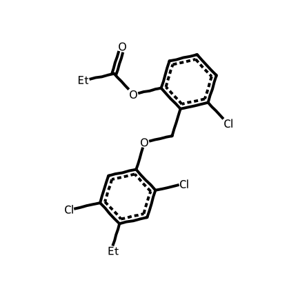 CCC(=O)Oc1cccc(Cl)c1COc1cc(Cl)c(CC)cc1Cl